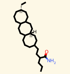 CCCC(CCC1CCCC2CCC3CCC[C@H](CC)CCC3CC[C@@H]2CC1)C(N)=O